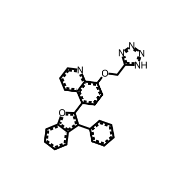 c1ccc(-c2c(-c3ccc(OCc4nnn[nH]4)c4ncccc34)oc3ccccc23)cc1